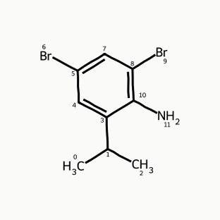 CC(C)c1cc(Br)cc(Br)c1N